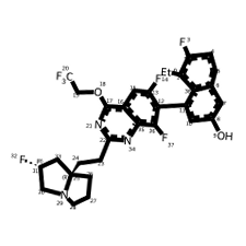 CCc1c(F)ccc2cc(O)cc(-c3c(F)cc4c(OCC(F)(F)F)nc(CC[C@@]56CCCN5C[C@H](F)C6)nc4c3F)c12